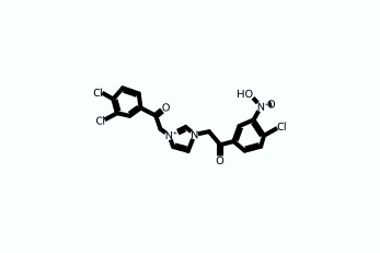 O=C(Cn1cc[n+](CC(=O)c2ccc(Cl)c(Cl)c2)c1)c1ccc(Cl)c([N+](=O)O)c1